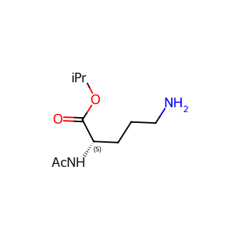 CC(=O)N[C@@H](CCCN)C(=O)OC(C)C